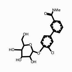 CNC(=O)c1cccc(-c2ccc(OC3OC(CO)C(O)C(O)C3O)c(Cl)c2)c1